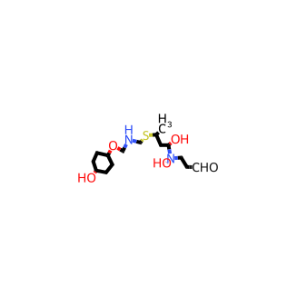 CC(CC(O)N(O)CCC=O)SCNCOC1CCC(O)CC1